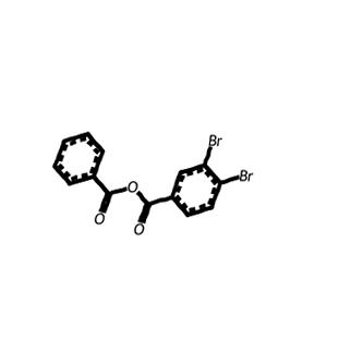 O=C(OC(=O)c1ccc(Br)c(Br)c1)c1ccccc1